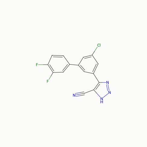 N#Cc1[nH]nnc1-c1cc(Cl)cc(-c2ccc(F)c(F)c2)c1